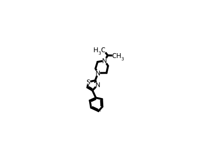 CC(C)N1CCN(c2nc(-c3cc[c]cc3)cs2)CC1